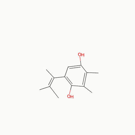 CC(C)=C(C)c1cc(O)c(C)c(C)c1O